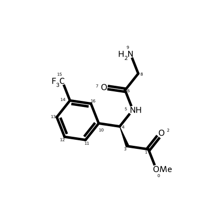 COC(=O)C[C@H](NC(=O)CN)c1cccc(C(F)(F)F)c1